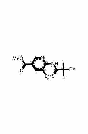 COC(=O)c1cnc(NC(=S)C(C)(C)F)c(Br)c1